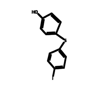 Oc1ccc(Sc2ccc(I)cc2)cc1